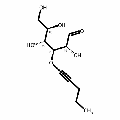 CCCC#CO[C@@H]([C@H](O)[C@H](O)CO)[C@@H](O)C=O